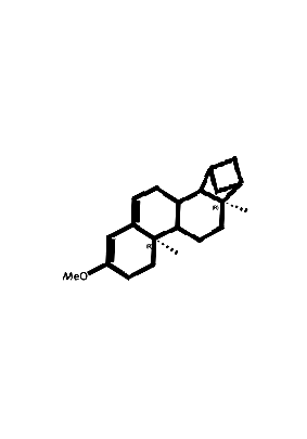 COC1=CC2=CCC3C4C5CC(C5)[C@@]4(C)CCC3[C@@]2(C)CC1